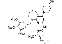 CCOC(=O)c1sc(Nc2nc(N3CCC(O)CC3)c3c(n2)N(Cc2cc(OC)c(OC)c(OC)c2)CCCC3)nc1C